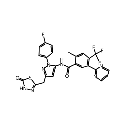 O=C(Nc1cc(Cc2n[nH]c(=O)s2)nn1-c1ccc(F)cc1)c1cc(-c2ncccn2)c(C(F)(F)F)cc1F